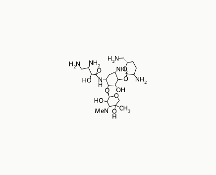 CN[C@@H]1C(O)[C@@H](OC2C(O)C(O[C@H]3O[C@H](CN)CCC3N)[C@@H](N)C[C@H]2NC(=O)[C@@H](O)[C@H](N)CN)OCC1(C)O